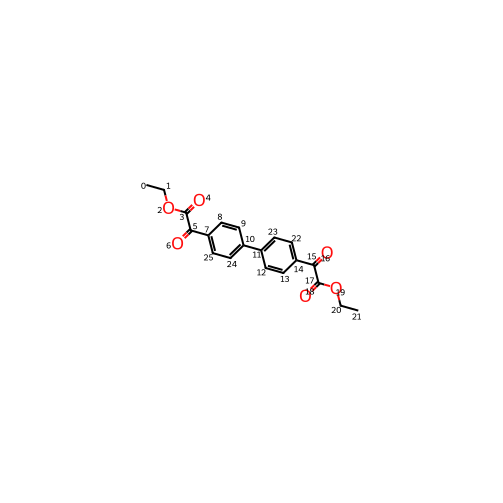 CCOC(=O)C(=O)c1ccc(-c2ccc(C(=O)C(=O)OCC)cc2)cc1